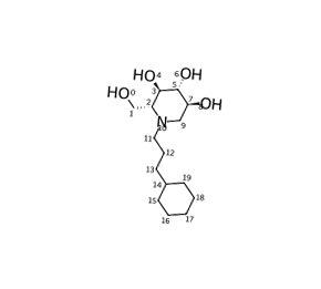 OC[C@@H]1[C@@H](O)[C@H](O)[C@@H](O)CN1CCCC1CCCCC1